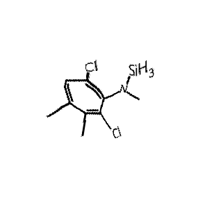 Cc1cc(Cl)c(N(C)[SiH3])c(Cl)c1C